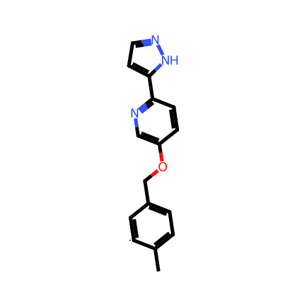 Cc1[c]cc(COc2ccc(-c3ccn[nH]3)nc2)cc1